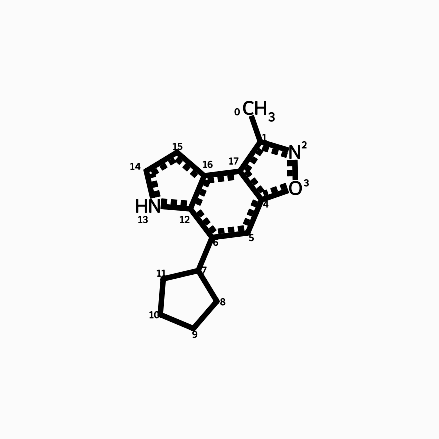 Cc1noc2cc(C3CCCC3)c3[nH]ccc3c12